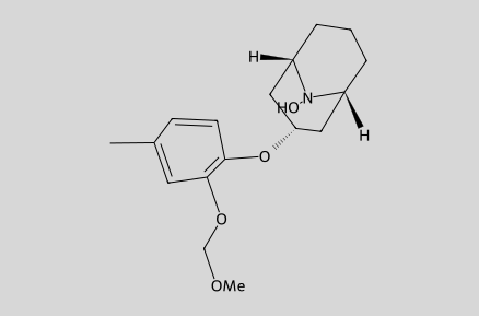 COCOc1cc(C)ccc1O[C@H]1C[C@H]2CCC[C@@H](C1)N2O